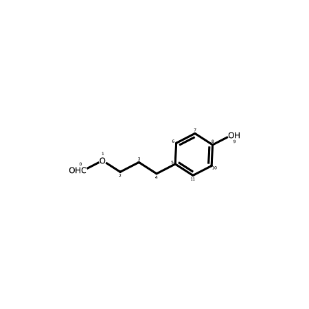 O=COCCCc1ccc(O)cc1